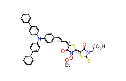 CCOOn1c(=O)/c(=C\C=C\c2ccc(N(c3ccc(-c4ccccc4)cc3)c3ccc(-c4ccccc4)cc3)cc2)s/c1=C1/SC(=S)N(CC(=O)O)C1=O